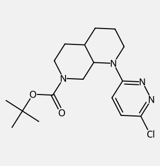 CC(C)(C)OC(=O)N1CCC2CCCN(c3ccc(Cl)nn3)C2C1